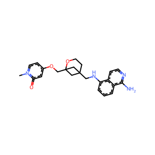 Cn1ccc(OCC23CC(CNc4cccc5c(N)nccc45)(CCO2)C3)cc1=O